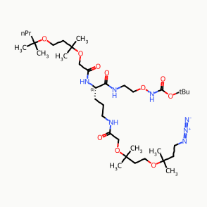 CCCC(C)(C)OCCC(C)(C)OCC(=O)N[C@@H](CCCNC(=O)COC(C)(C)CCOC(C)(C)CCN=[N+]=[N-])C(=O)NCCONC(=O)OC(C)(C)C